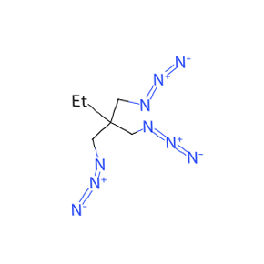 CCC(CN=[N+]=[N-])(CN=[N+]=[N-])CN=[N+]=[N-]